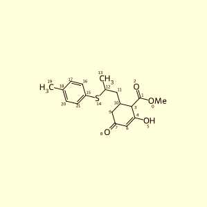 COC(=O)C1C(O)=CC(=O)CC1CC(C)Sc1ccc(C)cc1